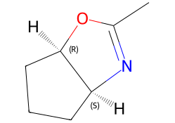 CC1=N[C@H]2CCC[C@H]2O1